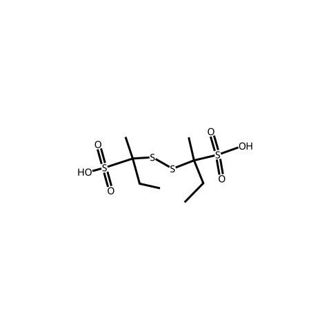 CCC(C)(SSC(C)(CC)S(=O)(=O)O)S(=O)(=O)O